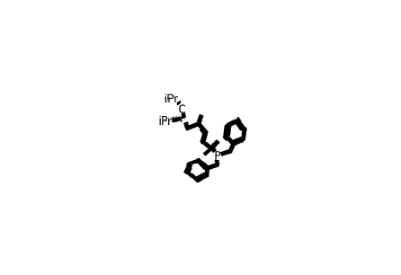 CC(C)CP(CC(C)CCC(C)(C)P(Cc1ccccc1)Cc1ccccc1)C(C)C